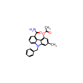 CC(=O)Oc1cc(C)cc2c1c1c(C(N)=O)cccc1n2Cc1ccccc1